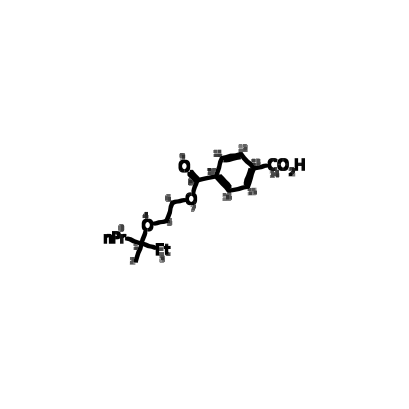 CCCC(C)(CC)OCCOC(=O)c1ccc(C(=O)O)cc1